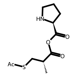 CC(=O)SC[C@@H](C)C(=O)OC(=O)[C@@H]1CCCN1